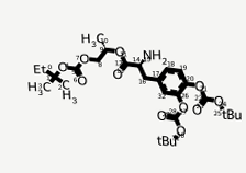 CCC(C)(C)OC(=O)OC[C@H](C)OC(=O)[C@@H](N)Cc1ccc(OC(=O)OC(C)(C)C)c(OC(=O)OC(C)(C)C)c1